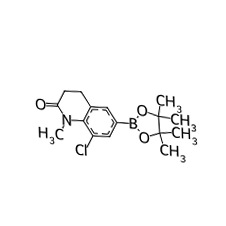 CN1C(=O)CCc2cc(B3OC(C)(C)C(C)(C)O3)cc(Cl)c21